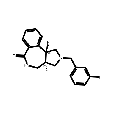 O=C1NC[C@@H]2CN(Cc3cccc(F)c3)C[C@H]2c2ccccc21